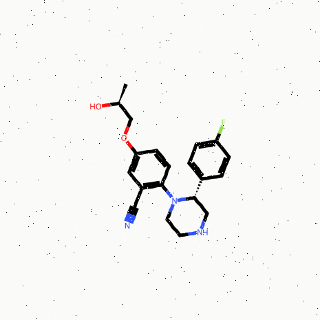 C[C@H](O)COc1ccc(N2CCNC[C@H]2c2ccc(F)cc2)c(C#N)c1